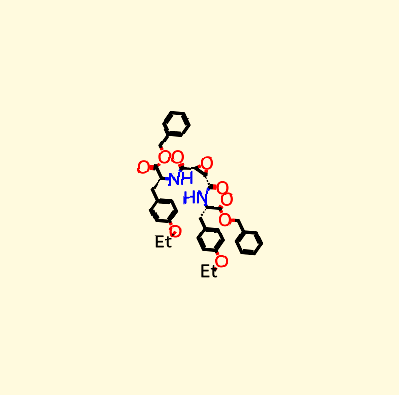 CCOc1ccc(C[C@H](NC(=O)[C@H]2O[C@@H]2C(=O)N[C@@H](Cc2ccc(OCC)cc2)C(=O)OCc2ccccc2)C(=O)OCc2ccccc2)cc1